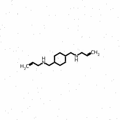 C=CCNCC1CCC(CNCC=C)CC1